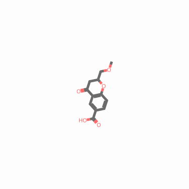 COCC1CC(=O)c2cc(C(=O)O)ccc2O1